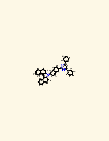 c1ccc(-c2cc(-c3ccccc3)nc(-c3ccc4cc(-n5c6ccc7ccccc7c6c6c7ccccc7ccc65)ccc4c3)n2)cc1